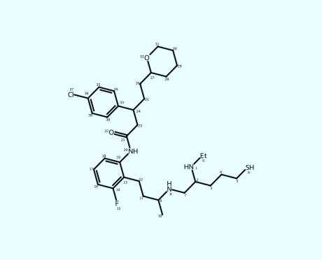 CCNC(CCCS)CNC(C)CCc1c(F)cccc1NC(=O)CC(CCC1CCCCO1)c1ccc(Cl)cc1